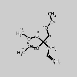 C=C[SiH2]C(COOC)(OOC)OOC